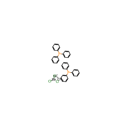 CC#N.[Cl][Re]([Cl])[Cl].c1ccc(P(c2ccccc2)c2ccccc2)cc1.c1ccc(P(c2ccccc2)c2ccccc2)cc1